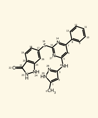 Cc1cc(Nc2cc(-c3ccccc3)nc(Sc3ccc4c(=O)[nH][nH]c4c3)n2)n[nH]1